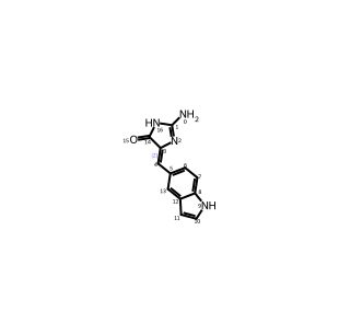 NC1=N/C(=C\c2ccc3[nH]ccc3c2)C(=O)N1